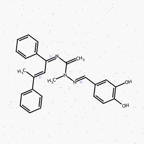 C=C(/N=C(\C=C(/C)c1ccccc1)c1ccccc1)N(C)/N=C/c1ccc(O)c(O)c1